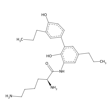 CCCc1cc(NC(=O)[C@@H](N)CCCCN)c(O)c(-c2ccc(O)c(CCC)c2)c1